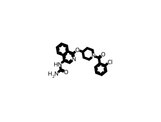 NC(=O)Nc1cnc(OC2CCN(C(=O)c3ccccc3Cl)CC2)c2ccccc12